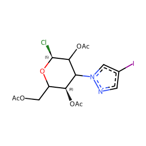 CC(=O)OCC1O[C@@H](Cl)C(OC(C)=O)C(n2cc(I)cn2)[C@H]1OC(C)=O